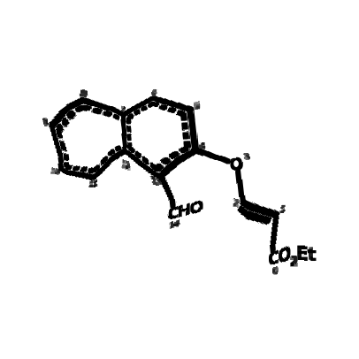 CCOC(=O)C=COc1ccc2ccccc2c1C=O